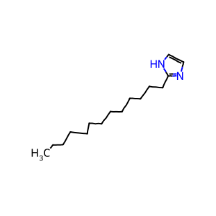 CCCCCCCCCCCCCc1ncc[nH]1